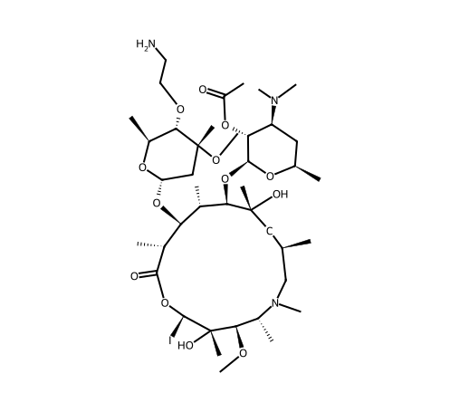 CO[C@@H]1[C@@H](C)N(C)C[C@H](C)C[C@@](C)(O)[C@H](O[C@@H]2O[C@H](C)C[C@H](N(C)C)[C@H]2OC(C)=O)[C@@H](C)[C@H](O[C@H]2C[C@@](C)(OC)[C@@H](OCCN)[C@H](C)O2)[C@@H](C)C(=O)O[C@H](I)[C@@]1(C)O